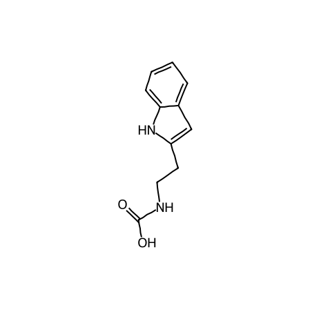 O=C(O)NCCc1cc2ccccc2[nH]1